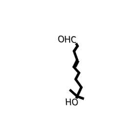 CC(C)(O)CCCC=CCCC=O